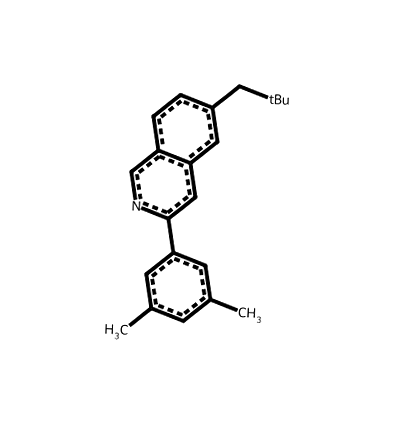 Cc1cc(C)cc(-c2cc3cc(CC(C)(C)C)ccc3cn2)c1